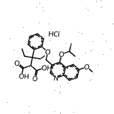 CCC(CC)(c1ccccc1OCc1cnc2ccc(OC)cc2c1OC(C)C)C(C(=O)O)C(=O)O.Cl